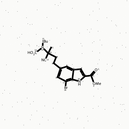 COC(=O)c1cc2cc(CCC(C)(C#N)N(C(=O)O)C(C)(C)C)cc(Br)c2[nH]1